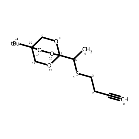 C#CCCSC(C)C12OCC(C(C)(C)C)(CO1)CO2